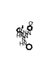 CCN1CCCC1CNC(=N/CNC1CCCCCC1)/N=C(\N)N(C)c1ccc(OC)cc1